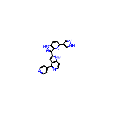 c1cc(-c2nccc3[nH]c(-c4n[nH]c5ccc(-c6cn[nH]c6)nc45)cc23)ccn1